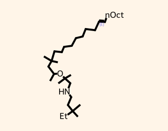 CCCCCCCC/C=C/CCCCCCCCC(C)(C)CC(C)OC(C)(C)CNCCC(C)(C)CC